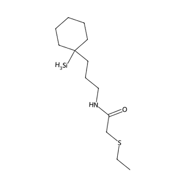 CCSCC(=O)NCCCC1([SiH3])CCCCC1